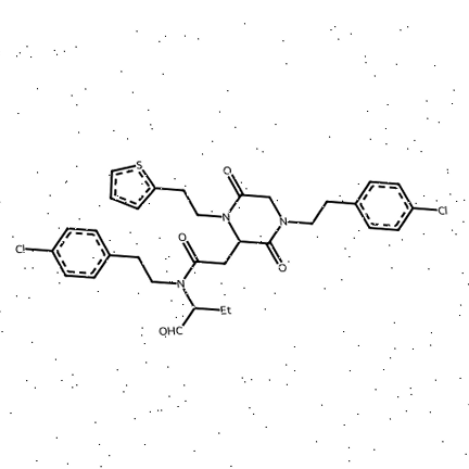 CCC(C=O)N(CCc1ccc(Cl)cc1)C(=O)CC1C(=O)N(CCc2ccc(Cl)cc2)CC(=O)N1CCc1cccs1